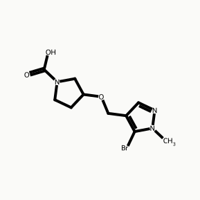 Cn1ncc(COC2CCN(C(=O)O)C2)c1Br